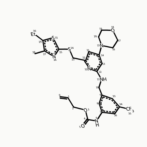 C=CCOC(=O)Nc1cc(CNc2cc(N3CCOCC3)cc(CSc3nc(C)c(CC)s3)n2)cc(C(F)(F)F)c1